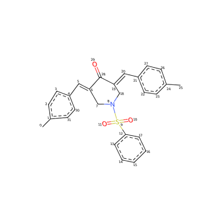 Cc1ccc(C=C2CN(S(=O)(=O)c3ccccc3)CC(=Cc3ccc(C)cc3)C2=O)cc1